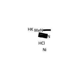 C#N.CNC.Cl.[KH].[Ni]